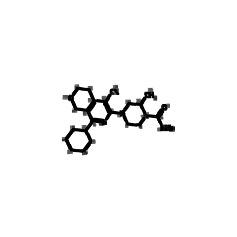 CNC(=O)N1CCN(c2nc(C3CCCCC3)c3c(c2C#N)CCOC3)CC1C